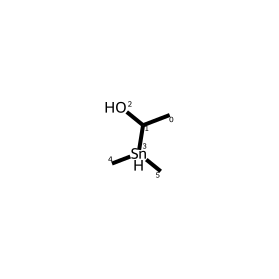 C[CH](O)[SnH]([CH3])[CH3]